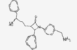 NCc1ccc(N2C(=O)C(CCC(O)c3ccccc3)C2c2ccccc2)cc1